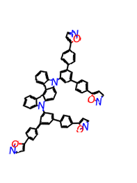 c1ccc2c(c1)c1c3c4ccccc4n(-c4cc(-c5ccc(-c6ccno6)cc5)cc(-c5ccc(-c6ccno6)cc5)c4)c3ccc1n2-c1cc(-c2ccc(-c3ccno3)cc2)cc(-c2ccc(-c3ccno3)cc2)c1